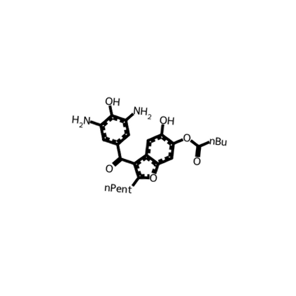 CCCCCc1oc2cc(OC(=O)CCCC)c(O)cc2c1C(=O)c1cc(N)c(O)c(N)c1